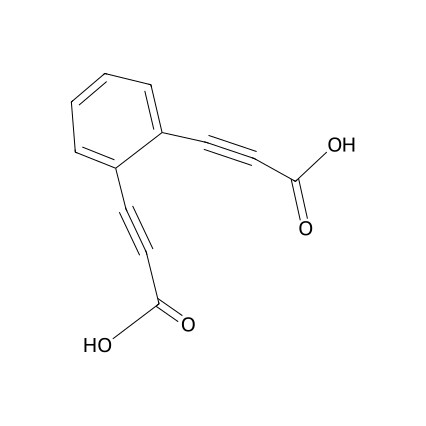 O=C(O)C#Cc1ccccc1C#CC(=O)O